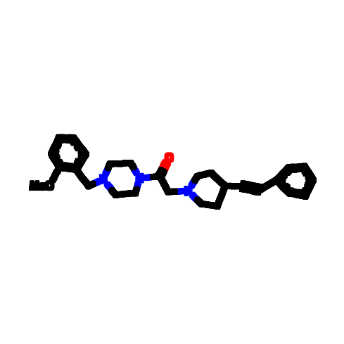 COc1ccccc1CN1CCN(C(=O)CN2CCC(C#Cc3ccccc3)CC2)CC1